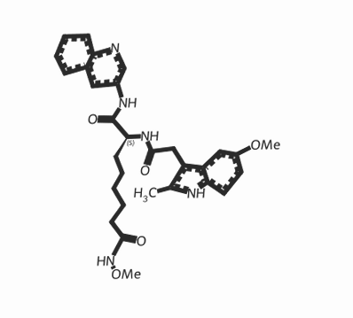 CONC(=O)CCCCC[C@H](NC(=O)Cc1c(C)[nH]c2ccc(OC)cc12)C(=O)Nc1cnc2ccccc2c1